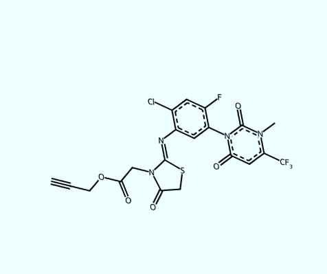 C#CCOC(=O)CN1C(=O)CS/C1=N\c1cc(-n2c(=O)cc(C(F)(F)F)n(C)c2=O)c(F)cc1Cl